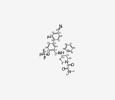 CN(C)C(=O)C(=O)N1CC[C@H](NCc2cc(-c3ccc(C#N)cc3F)ccc2OC(F)(F)F)[C@H](c2ccccc2)C1